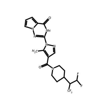 Cc1c(C(=O)N2CCC(C(C(F)F)C(F)(F)F)CC2)cnn1-c1nn2cccc2c(=O)[nH]1